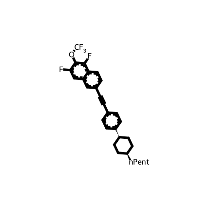 CCCCC[C@H]1CC[C@H](c2ccc(C#Cc3ccc4c(F)c(OC(F)(F)F)c(F)cc4c3)cc2)CC1